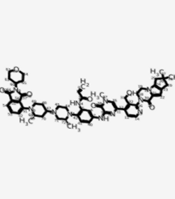 C=CC(=O)Nc1cc(Nc2nc(-c3ccnc(N4CCn5c(cc6c5CC(C)(C)C6)C4=O)c3CO)cn(C)c2=O)ccc1N1CCN(C2CCN(c3cccc4c3C(=O)N(C3CCOCC3)C4=O)[C@@H](C)C2)C[C@@H]1C